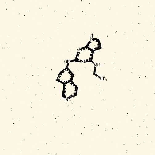 FC(F)(F)CNc1nc(Nc2ccc3cnccc3c2)nc2[nH]ccc12